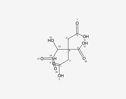 O=C(O)CC(CC(=O)O)(C(=O)O)C(O)[SH](=O)=O